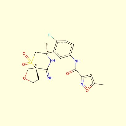 Cc1cc(C(=O)Nc2ccc(F)c([C@]3(C)CS(=O)(=O)[C@]4(CCOC4)C(=N)N3)c2)no1